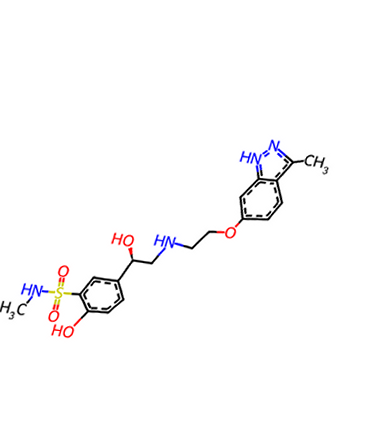 CNS(=O)(=O)c1cc([C@@H](O)CNCCOc2ccc3c(C)n[nH]c3c2)ccc1O